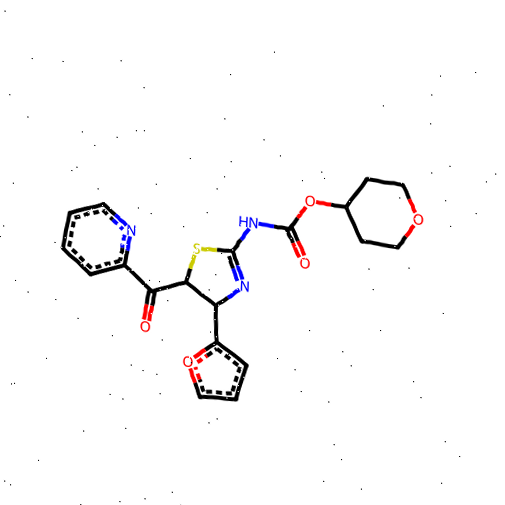 O=C(NC1=NC(c2ccco2)C(C(=O)c2ccccn2)S1)OC1CCOCC1